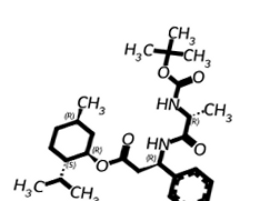 CC(C)[C@@H]1CC[C@@H](C)C[C@H]1OC(=O)C[C@@H](NC(=O)[C@@H](C)NC(=O)OC(C)(C)C)c1ccccc1